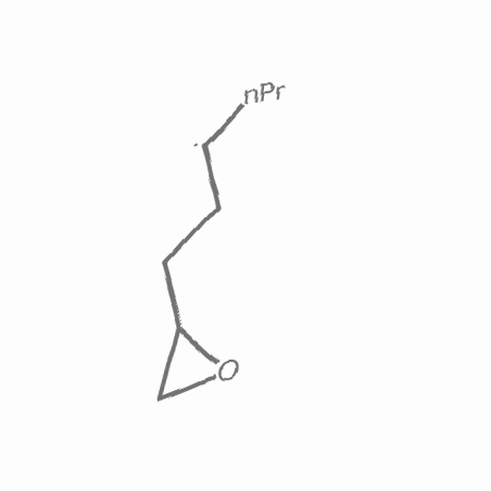 CCC[CH]CCC1CO1